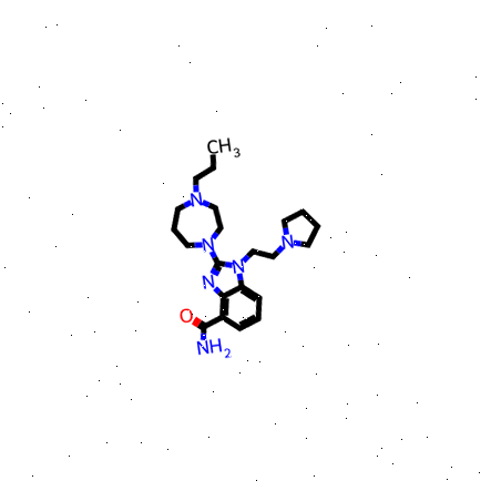 CCCN1CCCN(c2nc3c(C(N)=O)cccc3n2CCN2CCCC2)CC1